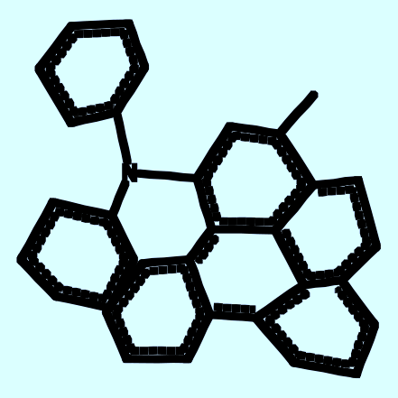 Cc1cc(N(c2ccccc2)c2ccccc2)c2c3ccccc3c3cccc4ccc1c2c43